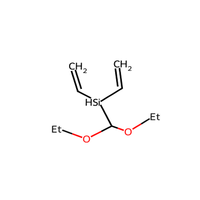 C=C[SiH](C=C)C(OCC)OCC